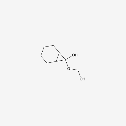 OCOC1(O)C2CCCCC21